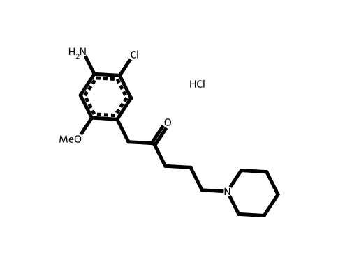 COc1cc(N)c(Cl)cc1CC(=O)CCCN1CCCCC1.Cl